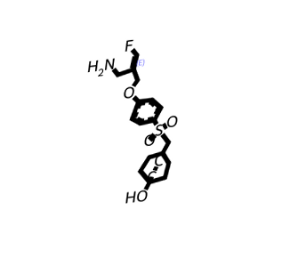 NC/C(=C\F)COc1ccc(S(=O)(=O)CC23CCC(O)(CC2)CC3)cc1